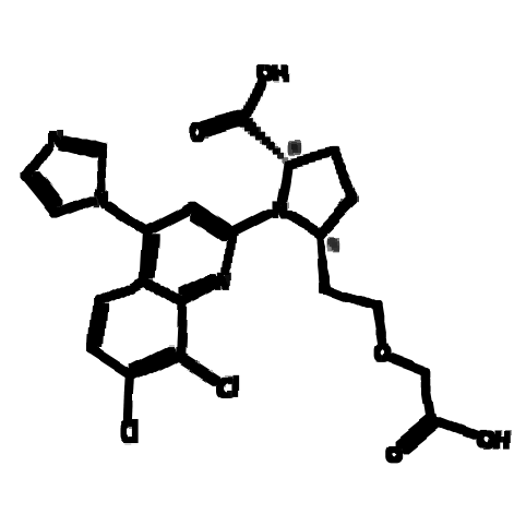 O=C(O)COCC[C@@H]1CC[C@@H](C(=O)O)N1c1cc(-n2ccnc2)c2ccc(Cl)c(Cl)c2n1